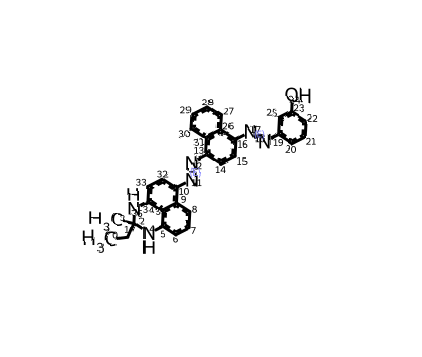 CCC1(C)Nc2cccc3c(/N=N/c4ccc(/N=N/c5cccc(O)c5)c5ccccc45)ccc(c23)N1